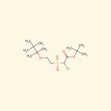 CC(C)(C)OC(=O)C(Cl)S(=O)(=O)CCO[Si](C)(C)C(C)(C)C